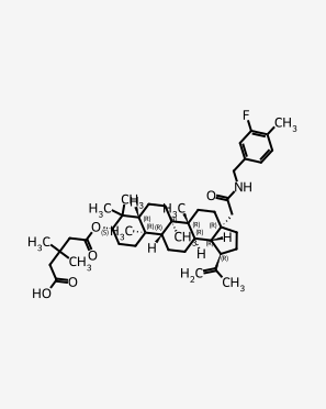 C=C(C)[C@@H]1CC[C@]2(CC(=O)NCc3ccc(C)c(F)c3)CC[C@]3(C)[C@H](CC[C@@H]4[C@@]5(C)CC[C@H](OC(=O)CC(C)(C)CC(=O)O)C(C)(C)[C@@H]5CC[C@]43C)[C@@H]12